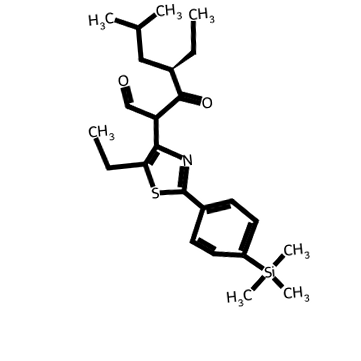 CCc1sc(-c2ccc([Si](C)(C)C)cc2)nc1C(C=O)C(=O)[C@H](CC)CC(C)C